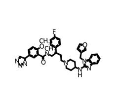 COc1ccc(C2C=NN=N2)cc1C(=O)N(C)CC(CCN1CCC(Nc2nc3ccccc3n2Cc2ccoc2)CC1)c1ccc(F)cc1